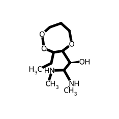 CCC1OOCCCOC1[C@@H](O)C(NC)NC